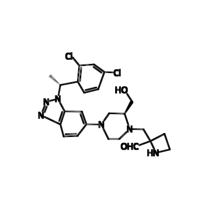 C[C@H](c1ccc(Cl)cc1Cl)n1nnc2ccc(N3CCN(CC4(C=O)CCN4)[C@H](CO)C3)cc21